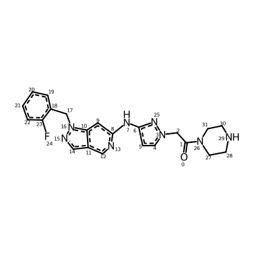 O=C(Cn1ccc(Nc2cc3c(cn2)cnn3Cc2ccccc2F)n1)N1CCNCC1